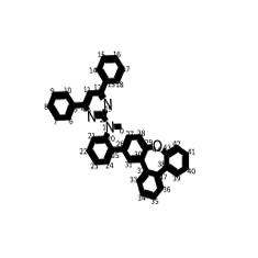 CN(c1nc(-c2ccccc2)cc(-c2ccccc2)n1)c1ccccc1-c1ccc2c(c1)-c1ccccc1-c1ccccc1O2